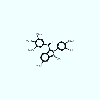 COc1ccc2c(C(=O)c3cc(OC)c(OC)c(OC)c3)c(-c3ccc(OC)c(O)c3)n(C)c2c1